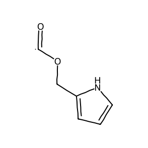 O=[C]OCc1ccc[nH]1